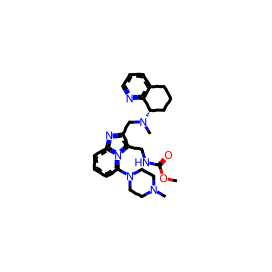 COC(=O)NCc1c(CN(C)[C@H]2CCCc3cccnc32)nc2cccc(N3CCN(C)CC3)n12